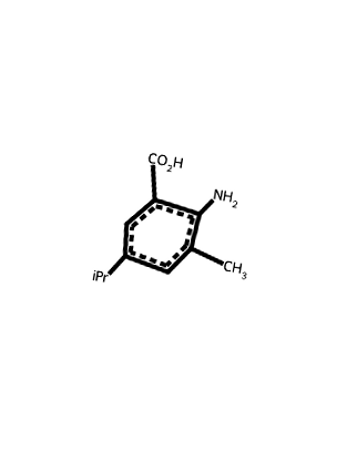 Cc1cc(C(C)C)cc(C(=O)O)c1N